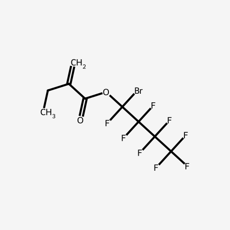 C=C(CC)C(=O)OC(F)(Br)C(F)(F)C(F)(F)C(F)(F)F